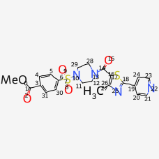 COC(=O)c1ccc(S(=O)(=O)N2CCN(C(=O)c3sc(-c4ccncc4)nc3C)CC2)cc1